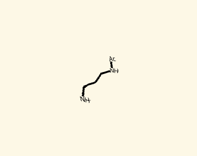 CC(=O)NCCC[NH]